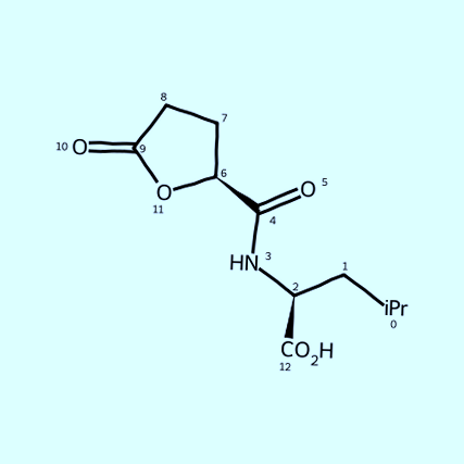 CC(C)C[C@H](NC(=O)[C@@H]1CCC(=O)O1)C(=O)O